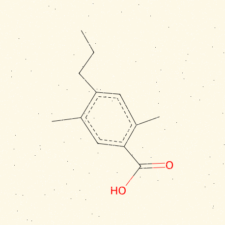 CCCc1cc(C)c(C(=O)O)cc1C